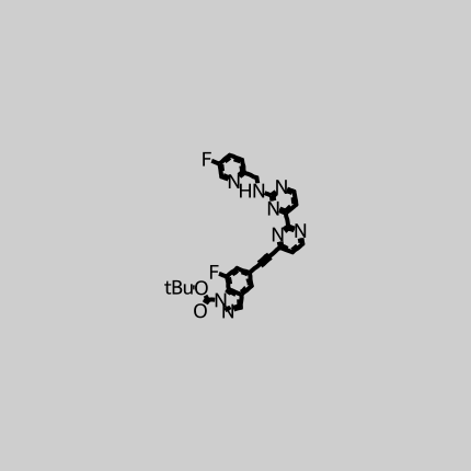 CC(C)(C)OC(=O)n1ncc2cc(C#Cc3ccnc(-c4ccnc(NCc5ccc(F)cn5)n4)n3)cc(F)c21